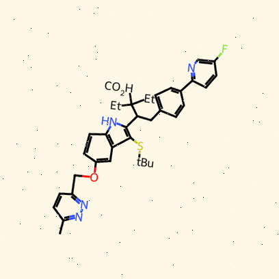 CCC(CC)(C(=O)O)C(Cc1ccc(-c2ccc(F)cn2)cc1)c1[nH]c2ccc(OCc3ccc(C)nn3)cc2c1SC(C)(C)C